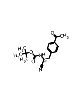 CC(=O)c1ccc(C[C@@H](C#N)NC(=O)OC(C)(C)C)cc1